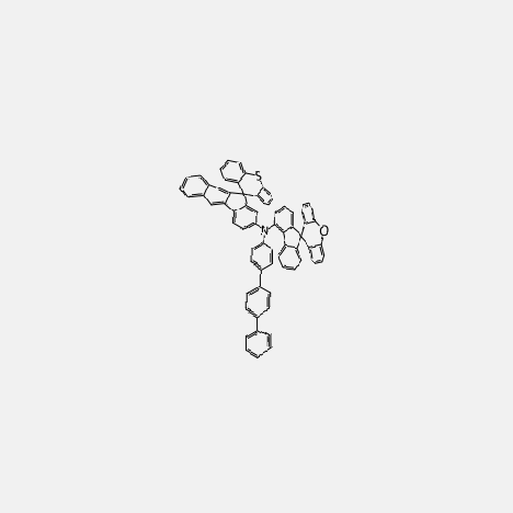 c1ccc(-c2ccc(-c3ccc(N(c4ccc5c(c4)C4(c6ccccc6Sc6ccccc64)c4cc6ccccc6cc4-5)c4cccc5c4-c4ccccc4C54c5ccccc5Oc5ccccc54)cc3)cc2)cc1